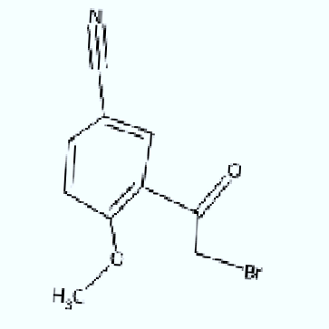 COc1ccc(C#N)cc1C(=O)CBr